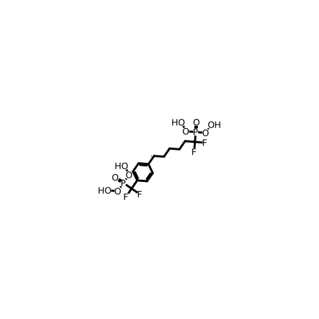 O=P(OO)(OO)C(F)(F)CCCC[CH]c1ccc(C(F)(F)P(=O)(OO)OO)cc1